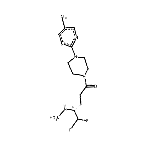 O=C(O)N[C@H](CCC(=O)N1CCN(c2ncc(C(F)(F)F)cn2)CC1)C(F)F